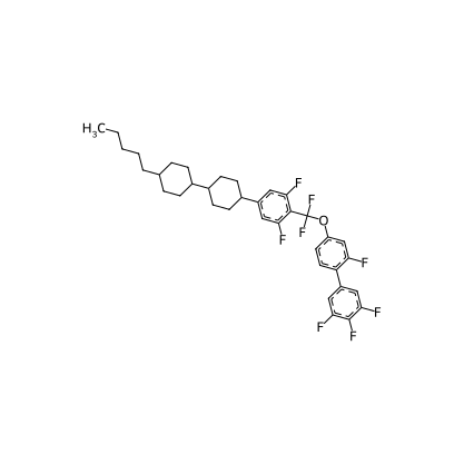 CCCCCC1CCC(C2CCC(c3cc(F)c(C(F)(F)Oc4ccc(-c5cc(F)c(F)c(F)c5)c(F)c4)c(F)c3)CC2)CC1